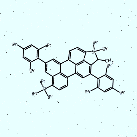 CC(C)c1cc(C(C)C)c(-c2cc3c([Si](C(C)C)(C(C)C)C(C)C)ccc4c5cc(-c6c(C(C)C)cc(C(C)C)cc6C(C)C)c6c7c(ccc(c(c2)c34)c75)[Si](C(C)C)(C(C)C)C6C)c(C(C)C)c1